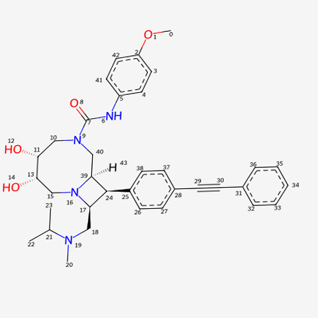 COc1ccc(NC(=O)N2C[C@@H](O)[C@@H](O)CN3[C@H](CN(C)C(C)C)[C@H](c4ccc(C#Cc5ccccc5)cc4)[C@@H]3C2)cc1